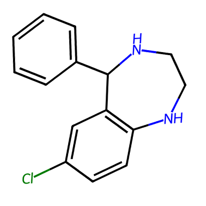 Clc1ccc2c(c1)C(c1ccccc1)NCCN2